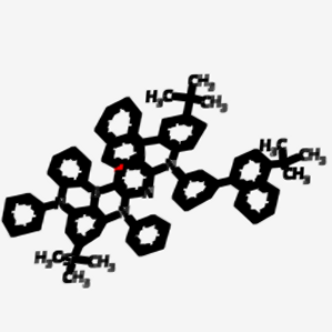 CC(C)(C)c1ccc(N(c2cccc(-c3ccc(C(C)(C)C)c4ccccc34)c2)c2ccc3c(n2)N(c2ccccc2)c2cc([Si](C)(C)C)cc4c2B3c2ccccc2N4c2ccccc2)c(-c2cccc3ccccc23)c1